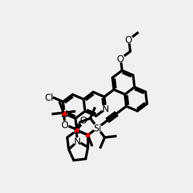 COCOc1cc(-c2cc3cc(Cl)nc(N4CC5CCC(C4)N5C(=O)OC(C)(C)C)c3cn2)c2c(C#C[Si](C(C)C)(C(C)C)C(C)C)cccc2c1